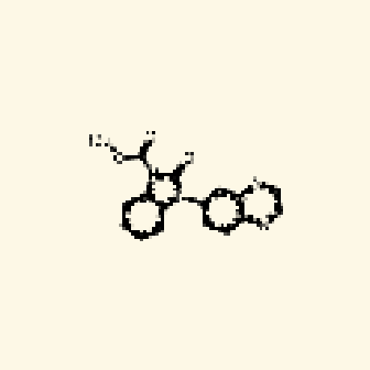 CC(C)(C)OC(=O)n1c(=O)n(-c2ccc3nccnc3c2)c2ccccc21